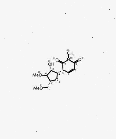 COC[C@H]1O[C@@H](n2ccc(=O)n(C)c2=O)[C@@H](O)C1OC